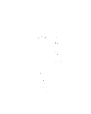 COc1ccccc1N1CCN(CCCCCN2C(=O)CCCC2=O)CC1.Cl